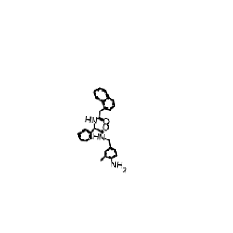 Cc1cc(CNC(=O)C(NC(=O)Cc2cccc3ccccc23)c2ccccc2)ccc1N